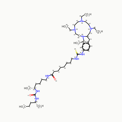 O=C(O)CC[C@H](NC(=O)N[C@@H](CCCCNC(=O)CCCCCCCNC(=S)Nc1ccc(CC2CN(CC(=O)O)CCN(CC(=O)O)CCN(CC(=O)O)CCN2CC(=O)O)cc1)C(=O)O)C(=O)O